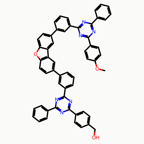 COc1ccc(-c2nc(-c3ccccc3)nc(-c3cccc(-c4ccc5oc6ccc(-c7cccc(-c8nc(-c9ccccc9)nc(-c9ccc(CO)cc9)n8)c7)cc6c5c4)c3)n2)cc1